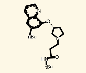 CCCCc1cc(O[C@@H]2CCN(CCC(=O)NC(C)(C)C)C2)c2ncccc2c1